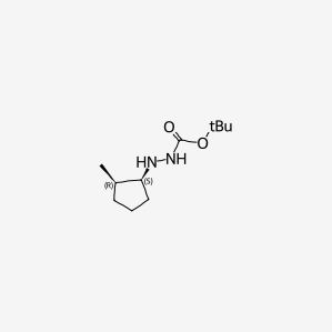 C[C@@H]1CCC[C@@H]1NNC(=O)OC(C)(C)C